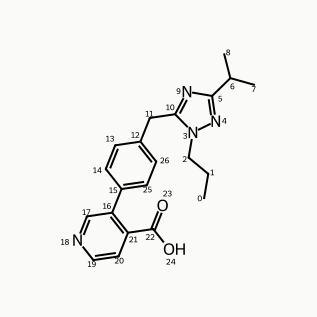 CCCn1nc(C(C)C)nc1Cc1ccc(-c2cnccc2C(=O)O)cc1